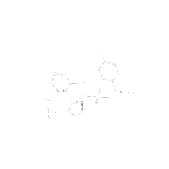 COc1ncnc(OC)c1-n1c(NS(=O)(=O)[C@@H](C)[C@H](OC)c2ncc(Cl)cn2)nnc1[C@@H]1C[C@@H]1C(F)(F)F